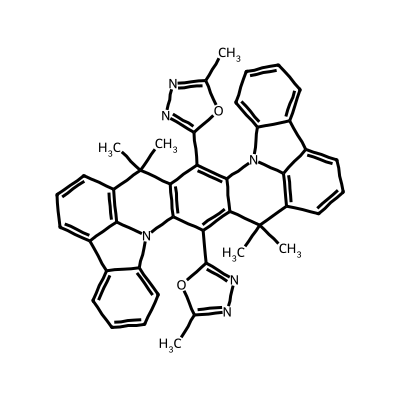 Cc1nnc(-c2c3c(c(-c4nnc(C)o4)c4c2C(C)(C)c2cccc5c6ccccc6n-4c25)C(C)(C)c2cccc4c5ccccc5n-3c24)o1